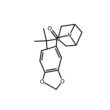 CC(C)(C)N1CC2CC(C1)N2C(=O)c1ccc2c(c1)OCO2